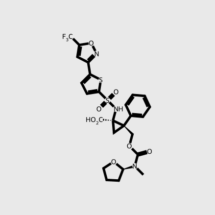 CN(C(=O)OC[C@@]1(c2ccccc2)C[C@]1(NS(=O)(=O)c1ccc(-c2cc(C(F)(F)F)on2)s1)C(=O)O)[C@H]1CCCO1